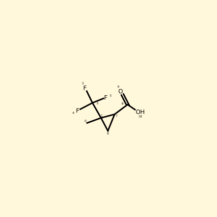 CC1(C(F)(F)F)CC1C(=O)O